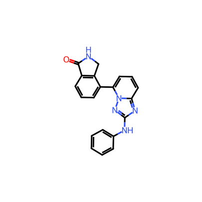 O=C1NCc2c1cccc2-c1cccc2nc(Nc3ccccc3)nn12